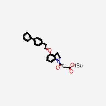 CC(C)(C)OC(=O)CCC(=O)N1CCc2c(OCCc3ccc(-c4ccccc4)cc3)cccc21